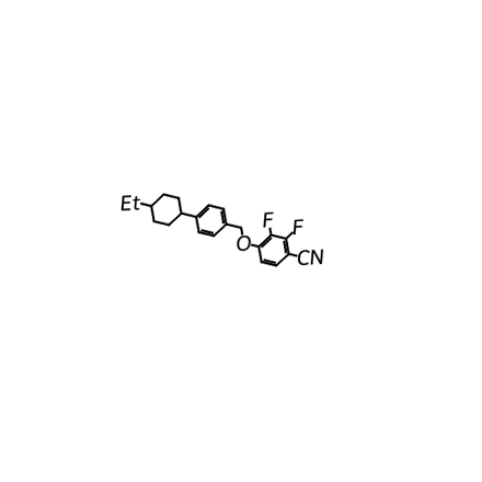 CCC1CCC(c2ccc(COc3ccc(C#N)c(F)c3F)cc2)CC1